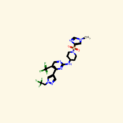 Cn1cnc(S(=O)(=O)N2CCC(Nc3ncc(C(F)(F)F)c(-c4cnn(CC(F)(F)F)c4)n3)CC2)c1